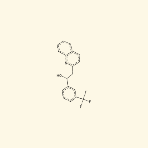 OC(Cc1ccc2ccccc2n1)c1cccc(C(F)(F)F)c1